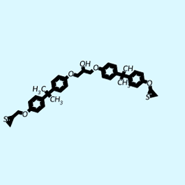 CC(C)(c1ccc(OCC(O)COc2ccc(C(C)(C)c3ccc(OC4CS4)cc3)cc2)cc1)c1ccc(OCC2CS2)cc1